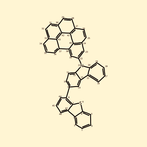 c1ccc2c(c1)sc1c(-c3ccc4c(c3)c3ccccc3n4-c3cc4ccc5ccc6ccc7cccc8c(c3)c4c5c6c78)cccc12